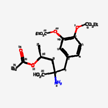 CCOC(=O)Oc1ccc(CC(N)(C[C@H](C)OC(=O)C(C)CC)C(=O)O)cc1OC(=O)OCC